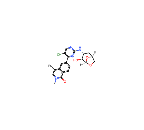 CC(C)c1cn(C)c(=O)c2ccc(-c3nc(N[C@@H]4C[C@H]5CO[C@H](O5)[C@H]4O)ncc3Cl)cc12